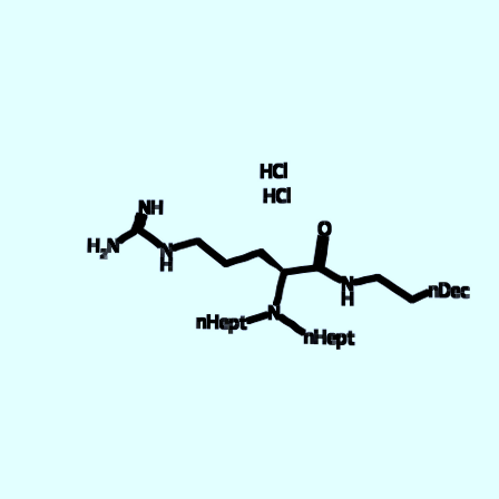 CCCCCCCCCCCCNC(=O)[C@H](CCCNC(=N)N)N(CCCCCCC)CCCCCCC.Cl.Cl